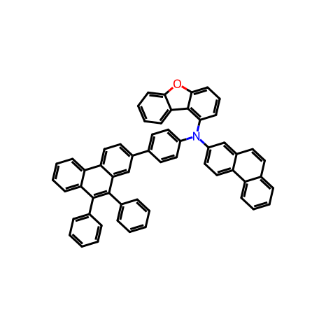 c1ccc(-c2c(-c3ccccc3)c3cc(-c4ccc(N(c5ccc6c(ccc7ccccc76)c5)c5cccc6oc7ccccc7c56)cc4)ccc3c3ccccc23)cc1